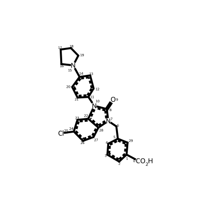 O=C(O)c1cccc(Cn2c(=O)n(-c3ccc(N4CCCC4)cc3)c3cc(Cl)ccc32)c1